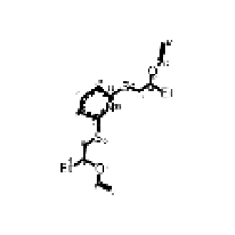 C=COC(CC)CSc1cccc(SCC(CC)OC=C)n1